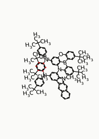 Cn1c2cc3ccccc3cc2c2cc(N(c3ccc(C(C)(C)C)cc3)c3ccc(C(C)(C)C)cc3)cc(N3c4ccc(C(C)(C)C)cc4B4c5cc(C(C)(C)C)ccc5Oc5cc(N(c6ccc(C(C)(C)C)cc6)c6ccc(C(C)(C)C)cc6)cc3c54)c21